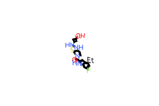 CCc1cc(F)cc2[nH]c(C(=O)N3CCC4NC(N[C@H]5C[C@H](O)C5)SC4C3)cc12